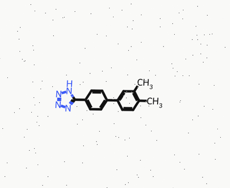 Cc1ccc(-c2ccc(-c3nnn[nH]3)cc2)cc1C